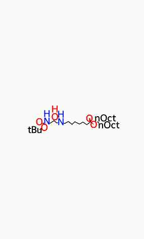 CCCCCCCCC(CCCCCCCC)OC(=O)CCCCCCCNCC(O)CNC(=O)OC(C)(C)C